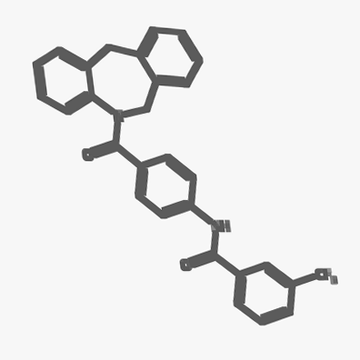 O=C(Nc1ccc(C(=O)N2Cc3ccccc3Cc3ccccc32)cc1)c1cccc(C(F)(F)F)c1